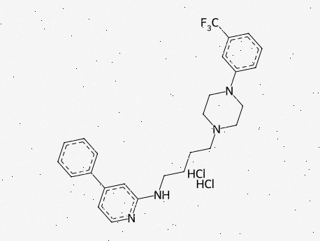 Cl.Cl.FC(F)(F)c1cccc(N2CCN(CCCCNc3cc(-c4ccccc4)ccn3)CC2)c1